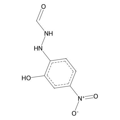 O=CNNc1ccc([N+](=O)[O-])cc1O